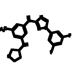 Cc1cc(Nc2ncn(-c3cc(F)cc(F)c3)n2)cc(NC2CCOC2)c1